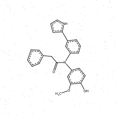 COc1cc(N(C(=O)Cc2ccccc2)c2cccc(-c3ccc[nH]3)c2)ccc1O